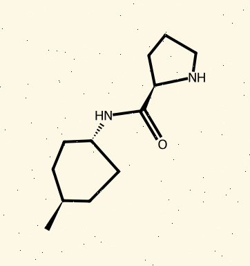 C[C@H]1CC[C@H](NC(=O)[C@H]2CCCN2)CC1